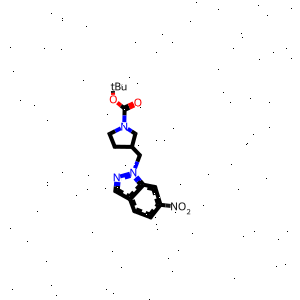 CC(C)(C)OC(=O)N1CCC(Cn2ncc3ccc([N+](=O)[O-])cc32)C1